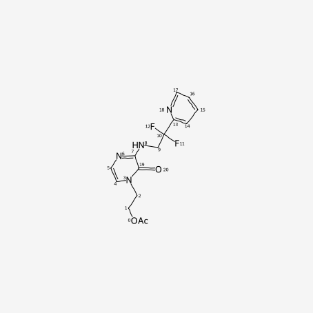 CC(=O)OCCn1ccnc(NCC(F)(F)c2ccccn2)c1=O